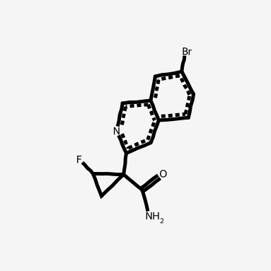 NC(=O)C1(c2cc3ccc(Br)cc3cn2)CC1F